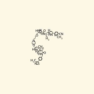 Cc1nc(C(=N)/C=C\NC[C@H](C)NC(=O)c2cc(COCCCN3CCN(CC4=CC5(C)C6CC[C@@H](C(=O)NCc7ccc(-c8scnc8C)cc7)N6C(=O)[C@H]5N4)CC3)[nH]n2)ccc1C#N